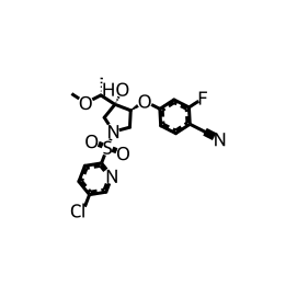 CO[C@H](C)[C@]1(O)CN(S(=O)(=O)c2ccc(Cl)cn2)C[C@@H]1Oc1ccc(C#N)c(F)c1